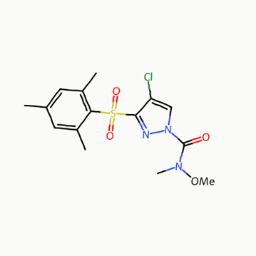 CON(C)C(=O)n1cc(Cl)c(S(=O)(=O)c2c(C)cc(C)cc2C)n1